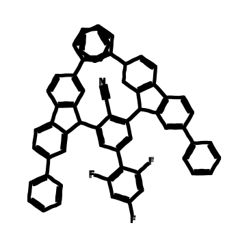 N#Cc1c(C2C3=C(C=CC(c4ccccc4)C3)c3ccc(-c4ccccc4)cc32)cc(-c2c(F)cc(F)cc2F)cc1C1c2cc(-c3ccccc3)ccc2-c2ccc(-c3ccccc3)cc21